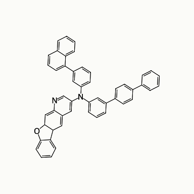 C1=c2cc(N(c3cccc(-c4ccc(-c5ccccc5)cc4)c3)c3cccc(-c4cccc5ccccc45)c3)cnc2=CC2Oc3ccccc3C12